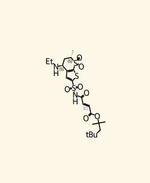 CCN[C@H]1C[C@H](C)S(=O)(=O)c2sc(S(=O)(=O)NC(=O)/C=C/C(=O)OC(C)(C)CC(C)(C)C)cc21